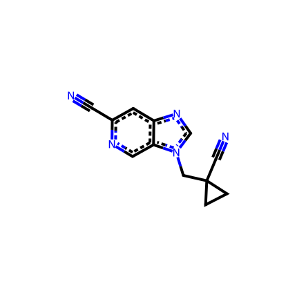 N#Cc1cc2ncn(CC3(C#N)CC3)c2cn1